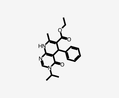 CCOC(=O)C1=C(C)Nc2ncn(C(C)C)c(=O)c2C1c1ccccc1